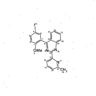 COc1ccc(F)cc1-c1nc(-c2cccc(C)n2)nc2ccccc12